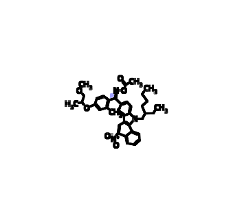 CCCCC(CC)Cn1c2ccc(/C(=N\OC(C)=O)c3ccc(OC(C)COC)cc3C)cc2c2cc([N+](=O)[O-])c3ccccc3c21